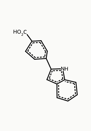 O=C(O)c1ccc(-c2cc3ccccc3[nH]2)cc1